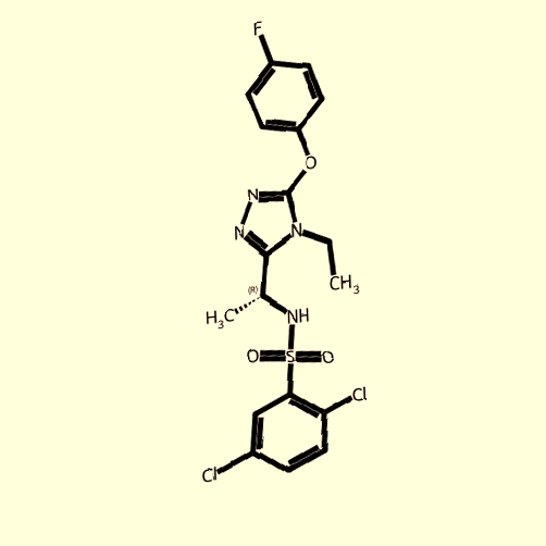 CCn1c(Oc2ccc(F)cc2)nnc1[C@@H](C)NS(=O)(=O)c1cc(Cl)ccc1Cl